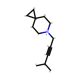 CC(C)C#CCN1CCC2(CC1)CC2